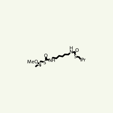 CO[Si](C)(C)CSC(=O)NCCCCCCNC(=O)SCC(C)C